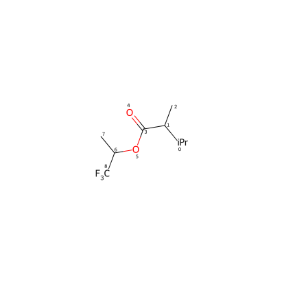 CC(C)C(C)C(=O)OC(C)C(F)(F)F